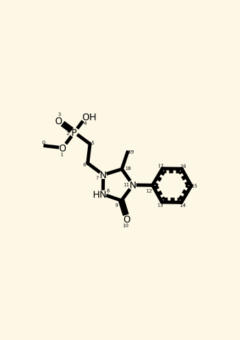 COP(=O)(O)CCN1NC(=O)N(c2ccccc2)C1C